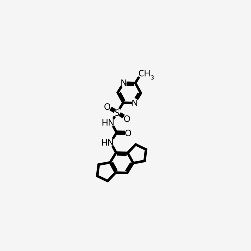 Cc1cnc(S(=O)(=O)NC(=O)Nc2c3c(cc4c2CCC4)CCC3)cn1